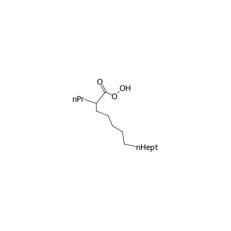 CCCCCCCCCCCCC(CCC)C(=O)OO